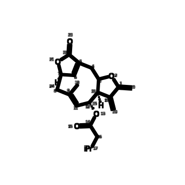 C=C1OC2CC3=C[C@@H](C/C(C)=C/[C@@H](OC(=O)CC(C)C)[C@@H]2C1=C)OC3=O